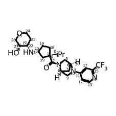 CC(C)[C@]1(C(=O)N2C[C@@H]3C[C@H]2CN3c2ccnc(C(F)(F)F)c2)CC[C@@H](N[C@H]2CCOC[C@H]2O)C1